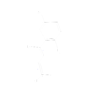 CC/C(=C\C=C(/C)Cl)c1cc(C(C)=O)ccc1F